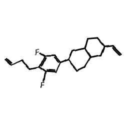 C=CCCc1c(F)cc(C2CCC3CC(C=C)CCC3C2)cc1F